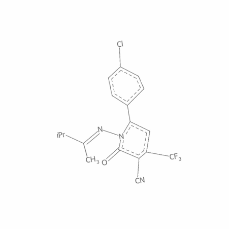 C/C(=N\n1c(-c2ccc(Cl)cc2)cc(C(F)(F)F)c(C#N)c1=O)C(C)C